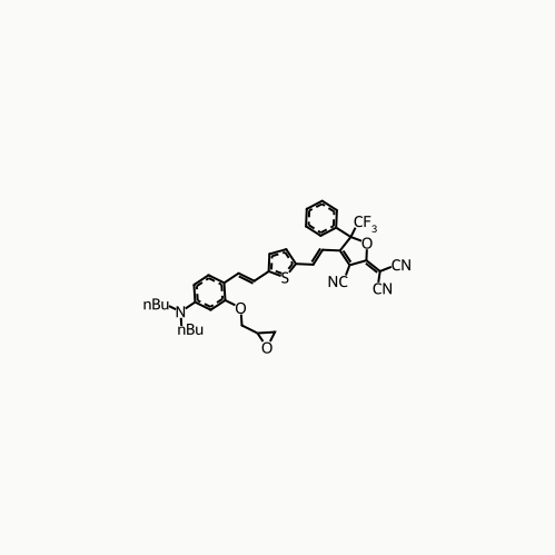 CCCCN(CCCC)c1ccc(/C=C/c2ccc(/C=C/C3=C(C#N)C(=C(C#N)C#N)OC3(c3ccccc3)C(F)(F)F)s2)c(OCC2CO2)c1